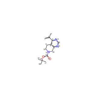 C=C(C)c1ncnc2c1CCN(C(=O)OC(C)(C)C)C2